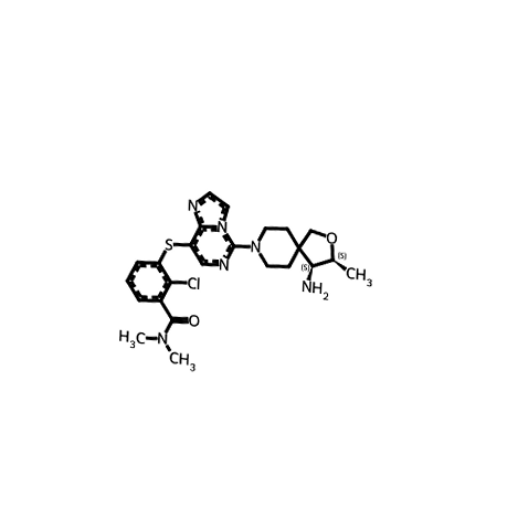 C[C@@H]1OCC2(CCN(c3ncc(Sc4cccc(C(=O)N(C)C)c4Cl)c4nccn34)CC2)[C@@H]1N